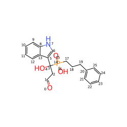 O=CCC(O)(c1c[nH]c2ccccc12)P(=O)(O)CCCc1ccccc1